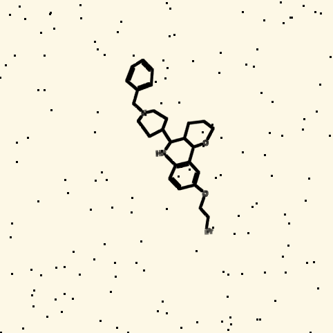 CC(C)CCOc1ccc2c(c1)C1OCCCC1C(C1CCN(Cc3ccccc3)CC1)N2